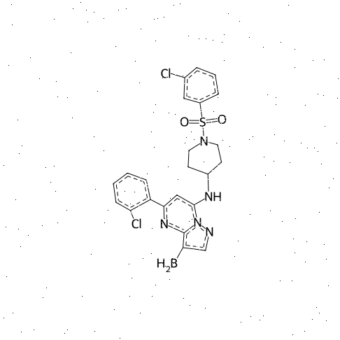 Bc1cnn2c(NC3CCN(S(=O)(=O)c4cccc(Cl)c4)CC3)cc(-c3ccccc3Cl)nc12